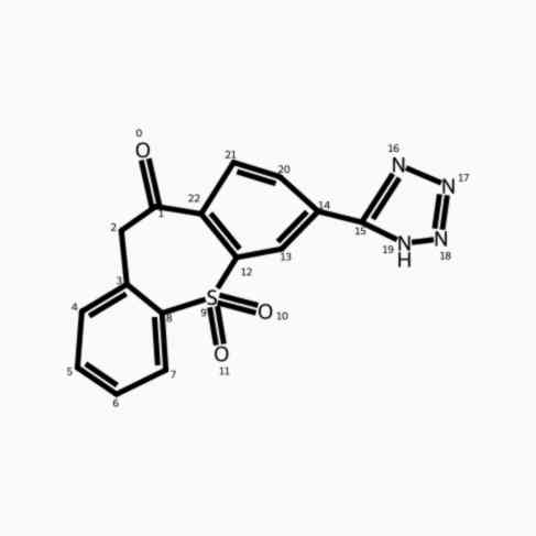 O=C1Cc2ccccc2S(=O)(=O)c2cc(-c3nnn[nH]3)ccc21